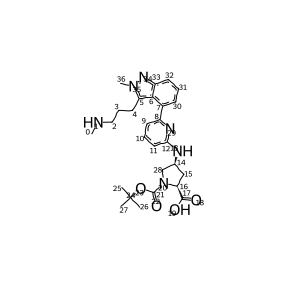 CNCCCc1c2c(-c3cccc(N[C@H]4C[C@@H](C(=O)O)N(C(=O)OC(C)(C)C)C4)n3)cccc2nn1C